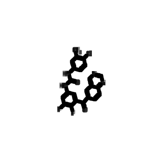 O=C(Nc1cc(F)c(F)c(C(=O)c2ccc3ncncc3c2)c1)Nc1ccc(Cl)c(C(F)(F)F)c1